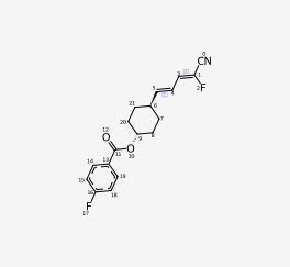 N#C/C(F)=C/C=C/[C@H]1CC[C@H](OC(=O)c2ccc(F)cc2)CC1